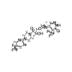 C[C@@H](COCC(C)(O)C(=O)N1CCN(c2ncc(C(F)(F)F)cn2)CC1)Nc1cn[nH]c(=O)c1C(F)(F)F